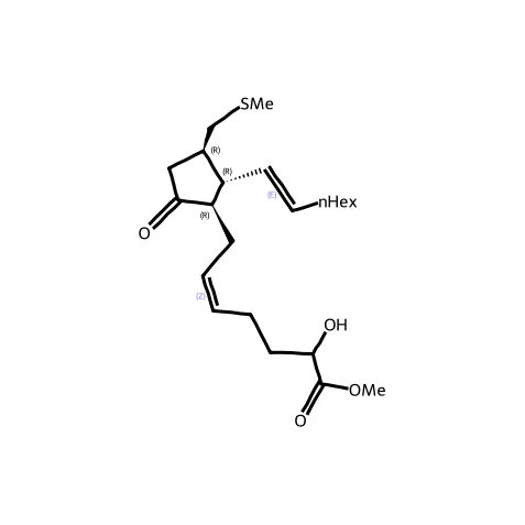 CCCCCC/C=C/[C@H]1[C@H](CSC)CC(=O)[C@@H]1C/C=C\CCC(O)C(=O)OC